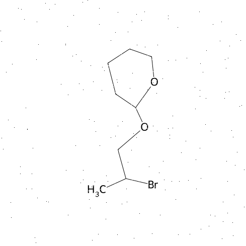 CC(Br)COC1CCCCO1